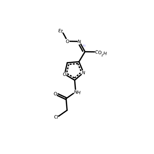 CCO/N=C(/C(=O)O)c1coc(NC(=O)CCl)n1